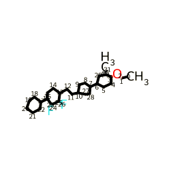 CCOC1CCC(C2CCC(CCC3CCC(C4CCCCC4)C(F)C3F)CC2)C[C@H]1C